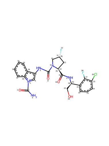 NC(=O)n1cc(NC(=O)N2C[C@H](F)C[C@H]2C(=O)N[C@H](CO)c2cccc(Cl)c2F)c2ccccc21